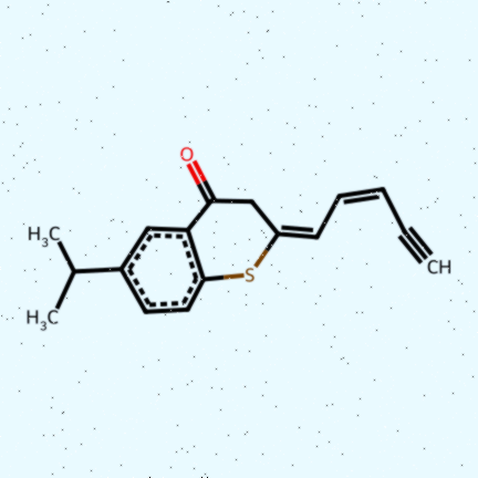 C#C/C=C\C=C1/CC(=O)c2cc(C(C)C)ccc2S1